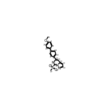 COc1ccc(-c2ccc(-c3cc4ccnn4c(S(C)(=O)=O)n3)cc2)cc1